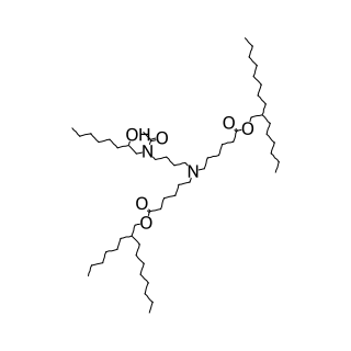 CCCCCCCCC(CCCCCC)COC(=O)CCCCCN(CCCCCC(=O)OCC(CCCCCC)CCCCCCCC)CCCCN(CC(O)CCCCCC)C(C)=O